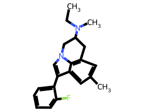 CCN(C)C1Cc2cc(C)cc3c(-c4ccccc4F)cn(c23)C1